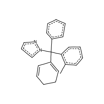 Cc1ccccc1C(C1=CCCC=C1)(c1ccccc1)n1cccn1